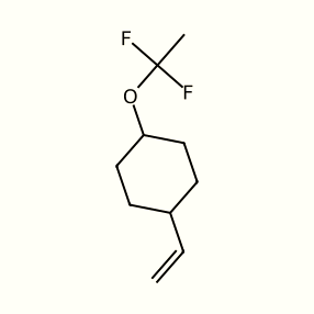 C=CC1CCC(OC(C)(F)F)CC1